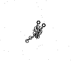 COCCOCCNC(=O)N(CC(C)(C)C)C(=O)[C@H](CC(C)C)C(C(=O)OCc1ccccc1)C(=O)OCc1ccccc1